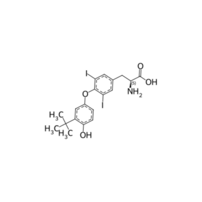 CC(C)(C)c1cc(Oc2c(I)cc(C[C@H](N)C(=O)O)cc2I)ccc1O